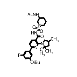 CC(=O)NC1CCCN(S(=O)(=O)NC(=O)c2ccc(-c3cc(F)cc(OCC(C)C)c3)nc2N2CC(C)CC2(C)C)C1